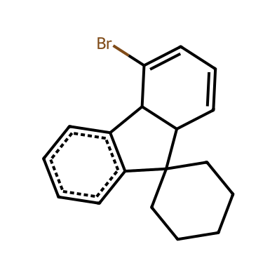 BrC1=CC=CC2C1c1ccccc1C21CCCCC1